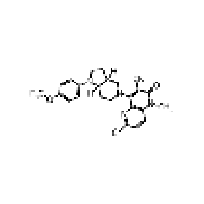 Cn1c(=O)c(C#N)c(N2CC[C@H]3[C@H](CCN3c3ccc(OC(F)(F)F)cc3)C2)c2nc(Cl)ccc21